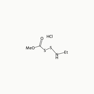 CCNSSC(=O)OC.Cl